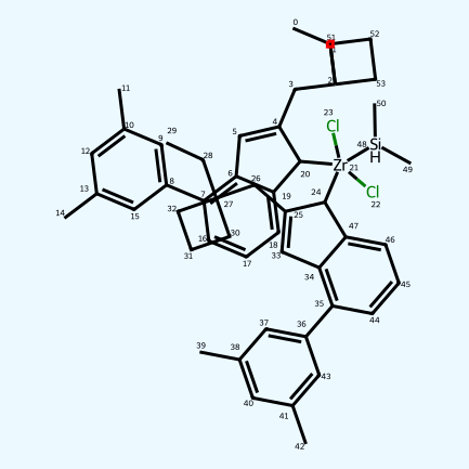 CCC1(CC2=Cc3c(-c4cc(C)cc(C)c4)cccc3[CH]2[Zr]([Cl])([Cl])([CH]2C(CC3(CC)CCC3)=Cc3c(-c4cc(C)cc(C)c4)cccc32)[SiH](C)C)CCC1